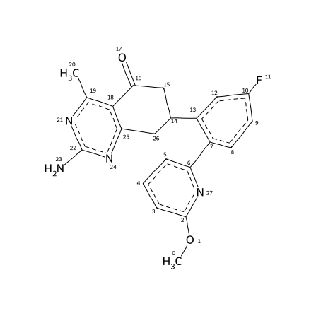 COc1cccc(-c2ccc(F)cc2C2CC(=O)c3c(C)nc(N)nc3C2)n1